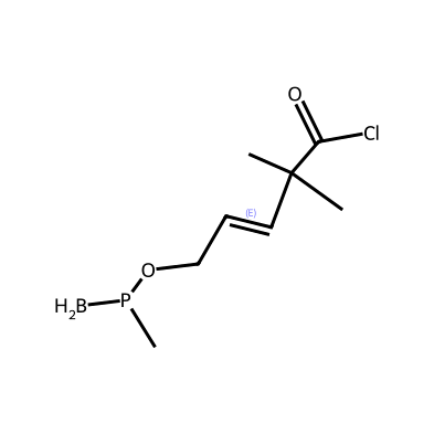 BP(C)OC/C=C/C(C)(C)C(=O)Cl